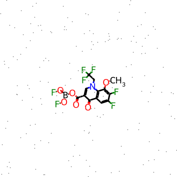 COc1c(F)c(F)cc2c(=O)c(C(=O)OB(OF)OF)cn(CC(F)(F)F)c12